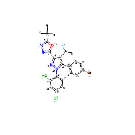 CC(F)c1c(-c2nnc(C(C)(C)C)o2)nn(-c2ccc(Cl)cc2Cl)c1-c1ccc(Br)cc1